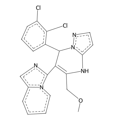 COCC1=C(c2ncc3ccccn23)C(c2cccc(Cl)c2Cl)n2nccc2N1